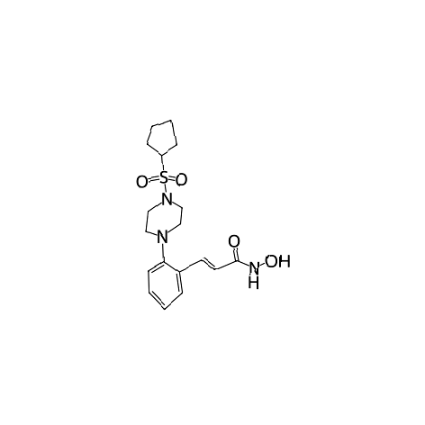 O=C(/C=C/c1ccccc1N1CCN(S(=O)(=O)C2CCCC2)CC1)NO